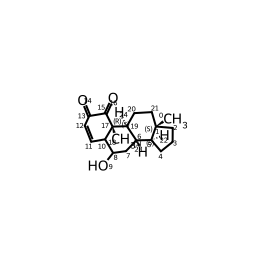 C[C@@]12CCC[C@H]1[C@@H]1CC(O)C3C=CC(=O)C(=O)[C@]3(C)[C@H]1CC2